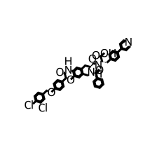 O=C1Nc2cc3c(cc2OC1c1ccc(OCc2ccc(Cl)c(Cl)c2)cc1)CN(C(=O)c1ccccc1)[C@H](C(=O)N[C@@H](Cc1ccc(-c2ccncc2)cc1)C(=O)O)C3